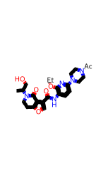 CCOc1nc(N2CCN(C(C)=O)CC2)ccc1NC(=O)c1coc2c1C(=O)N(C(C)CO)CC2